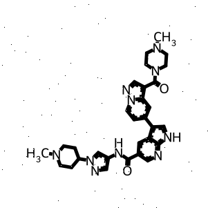 CN1CCC(n2cc(NC(=O)c3cnc4[nH]cc(-c5ccn6ncc(C(=O)N7CCN(C)CC7)c6c5)c4c3)cn2)CC1